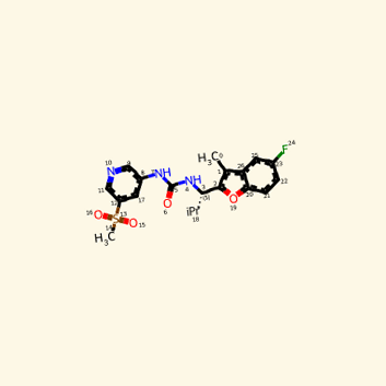 Cc1c([C@@H](NC(=O)Nc2cncc(S(C)(=O)=O)c2)C(C)C)oc2ccc(F)cc12